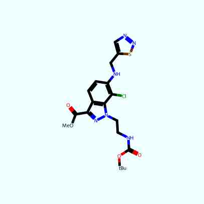 COC(=O)c1nn(CCNC(=O)OC(C)(C)C)c2c(Cl)c(NCc3cnns3)ccc12